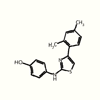 Cc1ccc(-c2csc(Nc3ccc(O)cc3)n2)c(C)c1